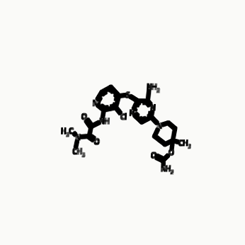 CN(C)C(=O)C(=O)Nc1nccc(Sc2ncc(N3CCC(C)(OC(N)=O)CC3)nc2N)c1Cl